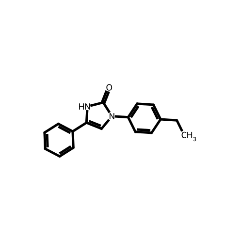 CCc1ccc(-n2cc(-c3ccccc3)[nH]c2=O)cc1